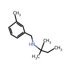 CCC(C)(C)NCc1cccc(C)c1